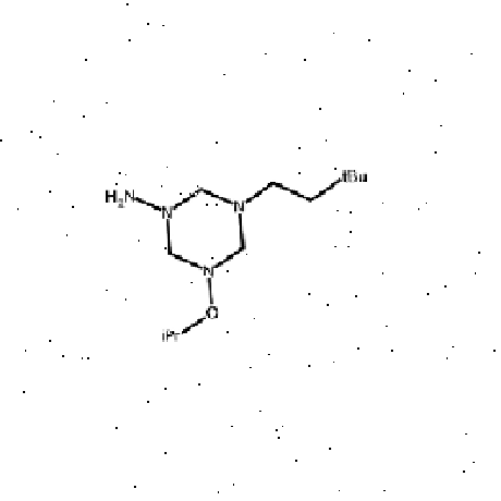 CC(C)ON1CN(N)CN(CCC(C)(C)C)C1